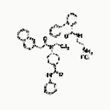 CC(c1cccc(-c2ccccc2C(=O)NCCN)c1)N(C(=O)Cc1ccc2ccccc2c1)C1CCN(C(=O)Nc2ccccc2)CC1.Cl